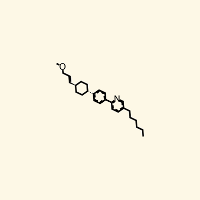 CCCCCCc1ccc(-c2ccc([C@H]3CC[C@H](/C=C/COC)CC3)cc2)nc1